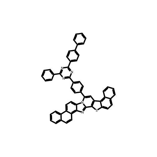 c1ccc(-c2ccc(-c3nc(-c4ccccc4)nc(-c4ccc(-c5cc6c(sc7ccc8ccccc8c76)c6nc7c8ccc9ccccc9c8ccc7n56)cc4)n3)cc2)cc1